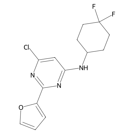 FC1(F)CCC(Nc2cc(Cl)nc(-c3ccco3)n2)CC1